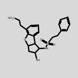 O=C(O)CCc1cccc2c1OC1CC(O)C(NS(=O)(=O)CCc3ccccc3)C21